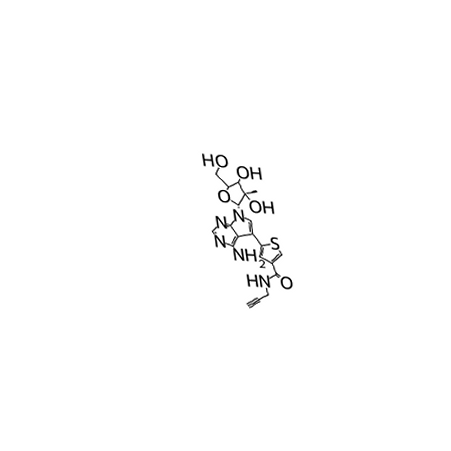 C#CCNC(=O)c1csc(-c2cn([C@@H]3OC(CO)C(O)[C@]3(C)O)c3ncnc(N)c23)c1